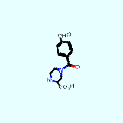 O=Cc1ccc(C(=O)N2CCNC(C(=O)O)C2)cc1